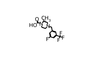 C[C@@H]1CN(Cc2cc(F)cc(C(F)(F)F)c2)CCN1C(=O)O